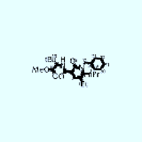 CCCc1c(CC)cc(C(=O)NC(C(=O)OC)C(C)(C)C)c(=O)n1CC1CCCCC1